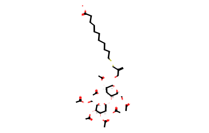 C=C(CO[C@@H]1O[C@H](COC(C)=O)[C@@H](O[C@@H]2O[C@H](COC(C)=O)[C@H](OC(C)=O)[C@H](OC(C)=O)[C@H]2OC(C)=O)[C@H](OC(C)=O)[C@H]1OC(C)=O)CSCCCCCCCCCCC(=O)OC